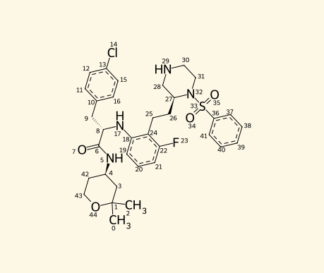 CC1(C)C[C@H](NC(=O)[C@H](Cc2ccc(Cl)cc2)Nc2cccc(F)c2CC[C@H]2CNCCN2S(=O)(=O)c2ccccc2)CCO1